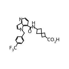 O=C(NC1CC2(C1)CC(C(=O)O)C2)c1ccnc2ccn(Cc3ccc(C(F)(F)F)cc3)c12